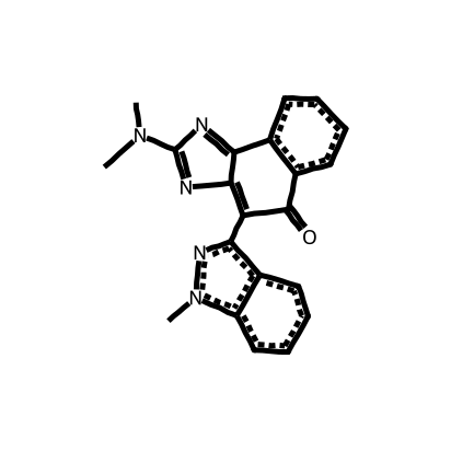 CN(C)C1=NC2=C(c3nn(C)c4ccccc34)C(=O)c3ccccc3C2=N1